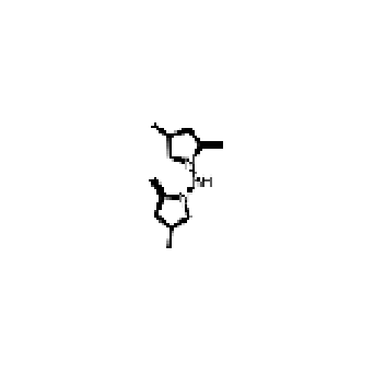 C=C1CC(C)CN1BN1CC(C)CC1=C